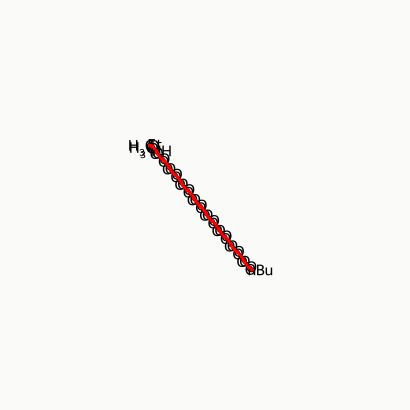 CCCCOC(=O)CCCCCOC(=O)CCCCCOC(=O)CCCCCOC(=O)CCCCCOC(=O)CCCCCOC(=O)CCCCCOC(=O)CCCCCOC(=O)CCCCCOC(=O)CCCCCOC(=O)CCCCCOC(=O)CCCCCOC(=O)CCCCCOC(=O)CCCCCOC(=O)CCCCCOC(=O)CCCCCOC(=O)NCCOC(=O)C(C)(C)CC